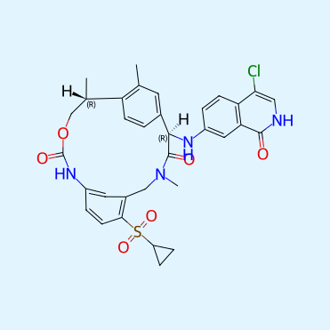 Cc1cc2ccc1[C@@H](C)COC(=O)Nc1ccc(S(=O)(=O)C3CC3)c(c1)CN(C)C(=O)[C@@H]2Nc1ccc2c(Cl)c[nH]c(=O)c2c1